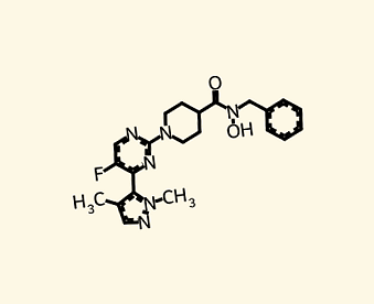 Cc1cnn(C)c1-c1nc(N2CCC(C(=O)N(O)Cc3ccccc3)CC2)ncc1F